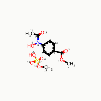 COC(=O)c1ccc(N(O)C(C)=O)cc1.COS(=O)(=O)O